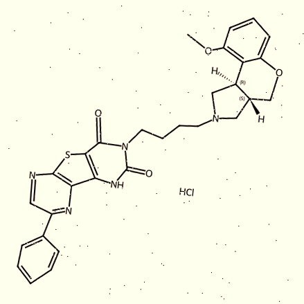 COc1cccc2c1[C@@H]1CN(CCCCn3c(=O)[nH]c4c(sc5ncc(-c6ccccc6)nc54)c3=O)C[C@H]1CO2.Cl